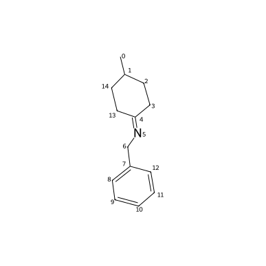 CC1CCC(=NCc2ccccc2)CC1